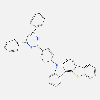 C1=CC(n2c3ccccc3c3c4sc5ccccc5c4ccc32)CC=C1c1nc(-c2ccccc2)cc(-c2ccccc2)n1